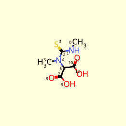 CNC(=S)N(C)C(C(=O)O)C(=O)O